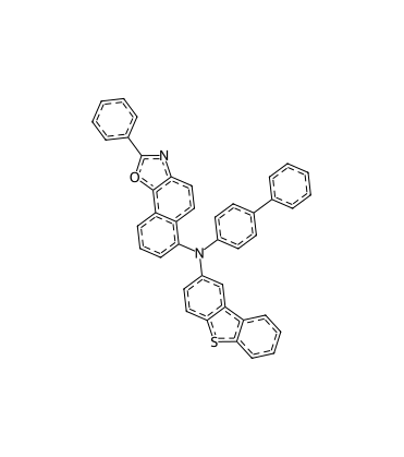 c1ccc(-c2ccc(N(c3ccc4sc5ccccc5c4c3)c3cccc4c3ccc3nc(-c5ccccc5)oc34)cc2)cc1